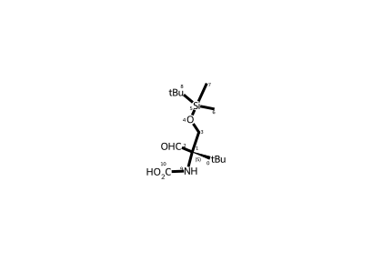 CC(C)(C)[C@@](C=O)(CO[Si](C)(C)C(C)(C)C)NC(=O)O